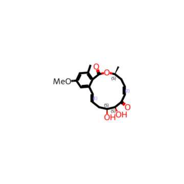 COc1cc(C)c2c(c1)/C=C/C[C@H](O)[C@H](O)C(=O)/C=C\C[C@H](C)OC2=O